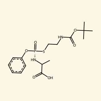 CC(N[P@@](=O)(Oc1ccccc1)SCCNC(=O)OC(C)(C)C)C(=O)O